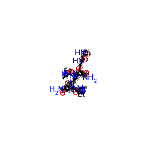 CCn1nc(C)cc1C(=O)Nc1nc2c(OCCCNC(=O)C[C@@H]3COCCN3)cc(C(N)=O)cc2n1CCC[C@H]1COc2cc(C(N)=O)cc3nc(NC(=O)c4cc(C)nn4CC)n1c23